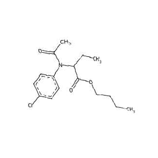 CCCCOC(=O)C(CC)N(C(C)=O)c1ccc(Cl)cc1